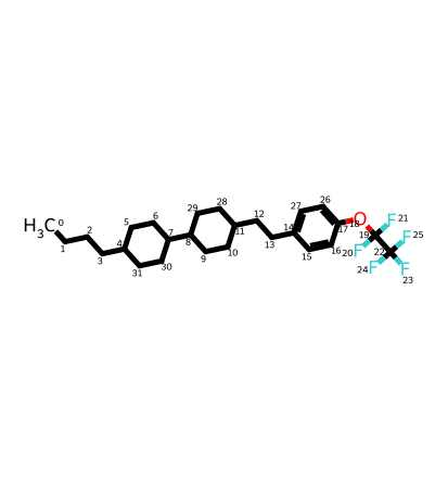 CCCCC1CCC(C2CCC(CCc3ccc(OC(F)(F)C(F)(F)F)cc3)CC2)CC1